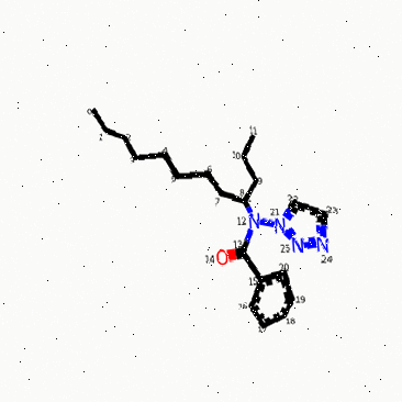 CCCCCCCC[C](CCC)N(C(=O)c1ccccc1)n1ccnn1